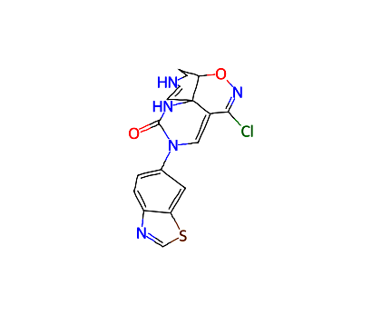 O=C1NC23C=CNCCC2ON=C(Cl)C3=CN1c1ccc2ncsc2c1